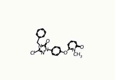 Cn1c(Oc2ccc(-n3nc(Cl)n(Cc4ccccc4)c3=O)cc2)cccc1=O